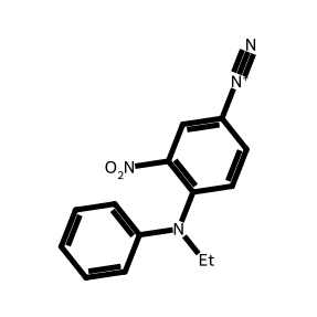 CCN(c1ccccc1)c1ccc([N+]#N)cc1[N+](=O)[O-]